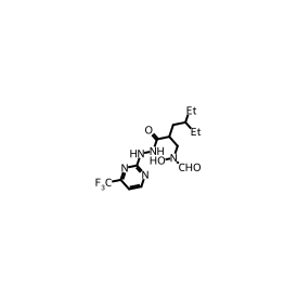 CCC(CC)CC(CN(O)C=O)C(=O)NNc1nccc(C(F)(F)F)n1